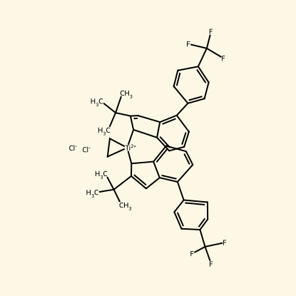 CC(C)(C)C1=Cc2c(-c3ccc(C(F)(F)F)cc3)cccc2[CH]1[Ti+2]1([CH]2C(C(C)(C)C)=Cc3c(-c4ccc(C(F)(F)F)cc4)cccc32)[CH2][CH2]1.[Cl-].[Cl-]